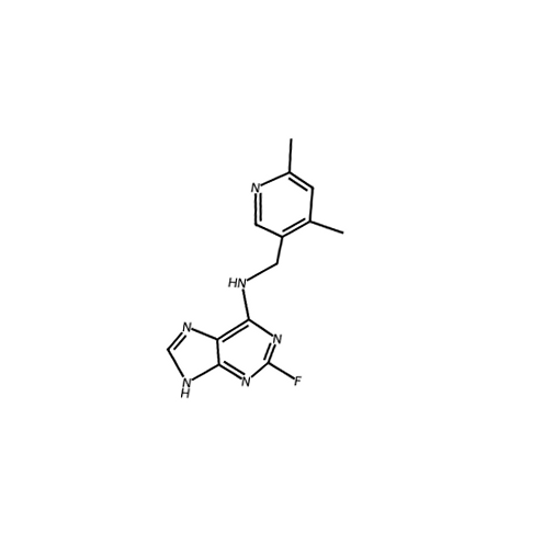 Cc1cc(C)c(CNc2nc(F)nc3[nH]cnc23)cn1